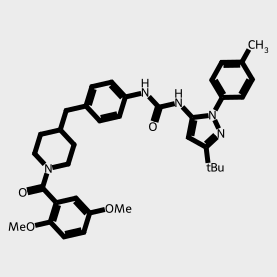 COc1ccc(OC)c(C(=O)N2CCC(Cc3ccc(NC(=O)Nc4cc(C(C)(C)C)nn4-c4ccc(C)cc4)cc3)CC2)c1